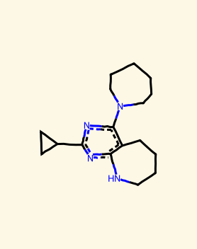 C1CCCN(c2nc(C3CC3)nc3c2CCCCN3)CC1